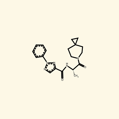 C[C@H](NC(=O)c1cnn(-c2ccccc2)n1)C(=O)N1CCC2(CC1)CC2